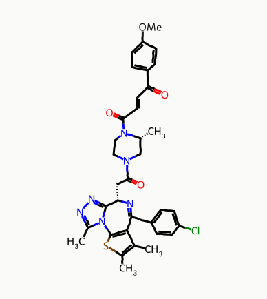 COc1ccc(C(=O)/C=C/C(=O)N2CCN(C(=O)C[C@@H]3N=C(c4ccc(Cl)cc4)c4c(sc(C)c4C)-n4c(C)nnc43)C[C@H]2C)cc1